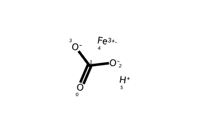 O=C([O-])[O-].[Fe+3].[H+]